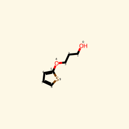 OCCCOc1cccs1